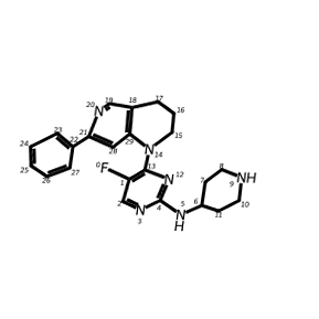 Fc1cnc(NC2CCNCC2)nc1N1CCCc2cnc(-c3ccccc3)cc21